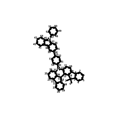 CC1(C)c2ccccc2-c2ccc3c(c21)C1(C)c2ccccc2-c2cccc(c21)N3c1ccc(-c2ccc3c(c2)c2ccccc2n3-c2ccccc2)cc1